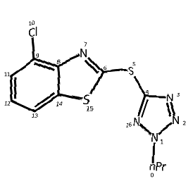 CCCn1nnc(Sc2nc3c(Cl)cccc3s2)n1